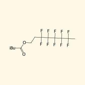 CCC(C)C(=O)OCCC(F)(F)C(F)(F)C(F)(F)C(F)(F)C(C)(F)F